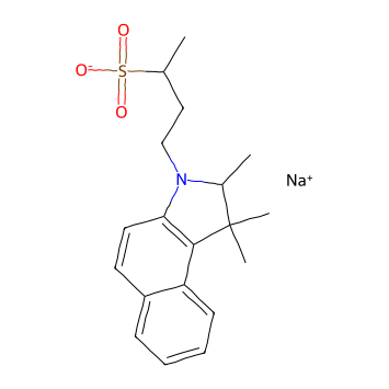 CC1N(CCC(C)S(=O)(=O)[O-])c2ccc3ccccc3c2C1(C)C.[Na+]